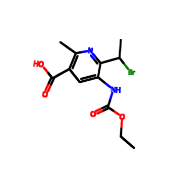 CCOC(=O)Nc1cc(C(=O)O)c(C)nc1C(C)Br